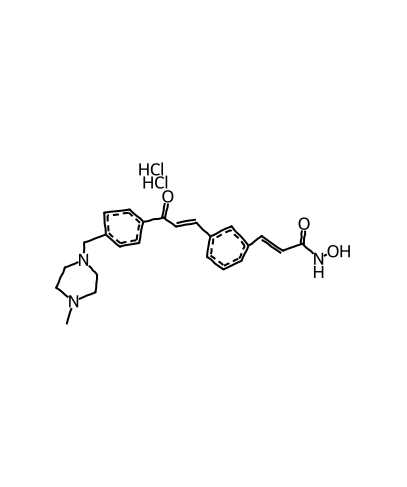 CN1CCN(Cc2ccc(C(=O)C=Cc3cccc(C=CC(=O)NO)c3)cc2)CC1.Cl.Cl